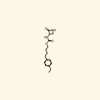 CCc1ccc(CCCCOC(=O)NC2CNC2=O)cc1